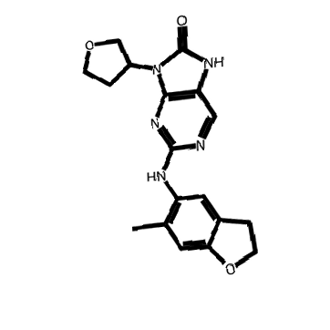 Cc1cc2c(cc1Nc1ncc3[nH]c(=O)n(C4CCOC4)c3n1)CCO2